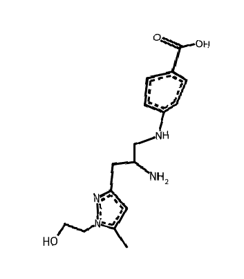 Cc1cc(CC(N)CNc2ccc(C(=O)O)cc2)nn1CCO